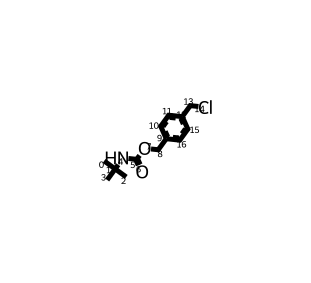 CC(C)(C)NC(=O)OCc1ccc(CCl)cc1